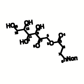 CCCCCCCCCCCC(=O)OCC(=O)C(O)C(O)C(O)CO